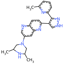 Cc1cccc(-c2n[nH]cc2-c2ccc3ncc(N4CC(C)NC(C)C4)cc3n2)n1